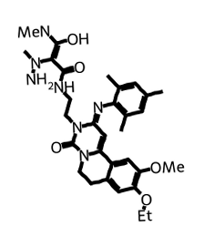 CCOc1cc2c(cc1OC)-c1c/c(=N\c3c(C)cc(C)cc3C)n(CCNC(=O)/C(=C(\O)NC)N(C)N)c(=O)n1CC2